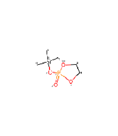 C[Si](C)(C)OP1(=O)OCCO1